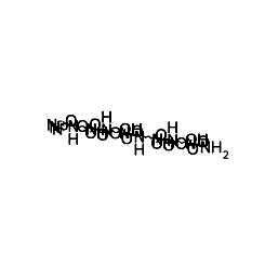 [N-]=[N+]=Nc1ccc(C(=O)NCCOCCN(O)C(=O)CCC(=O)NCCOCCN(O)C(=O)CCC(=O)NCCCCCN(O)C(=O)CCC(=O)NCCOCCN(O)C(=O)CCC(N)=O)cc1